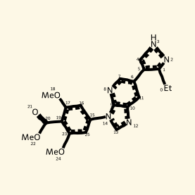 CCc1n[nH]cc1-c1cnc2c(c1)ncn2-c1cc(OC)c(C(=O)OC)c(OC)c1